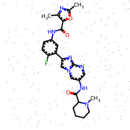 Cc1nc(C)c(C(=O)Nc2ccc(F)c(-c3cn4cc(NC(=O)C5CCCCN5C)cnc4n3)c2)o1